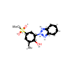 CCC(C)c1cc(S(=O)(=O)OC)cc(-n2nc3ccccc3n2)c1O